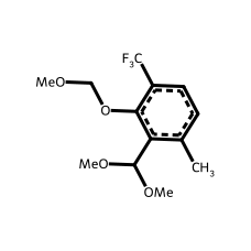 COCOc1c(C(F)(F)F)ccc(C)c1C(OC)OC